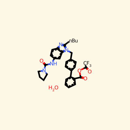 CCCCc1nc2ccc(NC(=O)N3CCCC3)cc2n1Cc1ccc(-c2ccccc2C(=O)OC(=O)C(F)(F)F)cc1.O